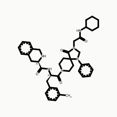 Cc1cccc(C[C@@H](NC(=O)[C@H]2Cc3ccccc3CN2)C(=O)N2CCC3(CC2)C(=O)N(CC(=O)NC2CCCCC2)CN3c2ccccc2)c1